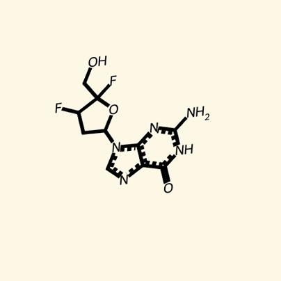 Nc1nc2c(ncn2C2CC(F)C(F)(CO)O2)c(=O)[nH]1